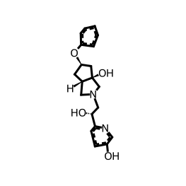 Oc1ccc([C@H](O)CN2C[C@@H]3C[C@@H](Oc4ccccc4)C[C@]3(O)C2)nc1